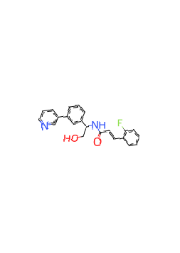 O=C(/C=C/c1ccccc1F)NC(CO)c1cccc(-c2cccnc2)c1